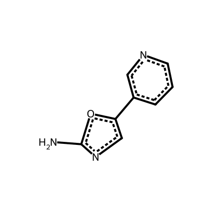 Nc1ncc(-c2cccnc2)o1